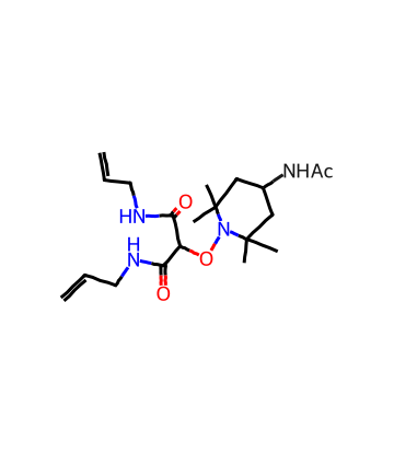 C=CCNC(=O)C(ON1C(C)(C)CC(NC(C)=O)CC1(C)C)C(=O)NCC=C